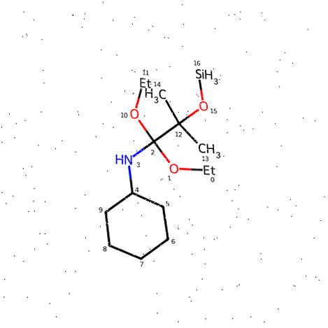 CCOC(NC1CCCCC1)(OCC)C(C)(C)O[SiH3]